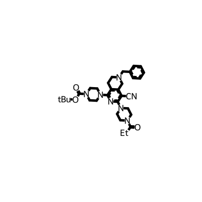 CCC(=O)N1CCN(c2nc(N3CCN(C(=O)OC(C)(C)C)CC3)c3c(c2C#N)CN(Cc2ccccc2)CC3)CC1